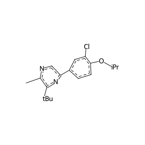 Cc1ncc(-c2ccc(OC(C)C)c(Cl)c2)nc1C(C)(C)C